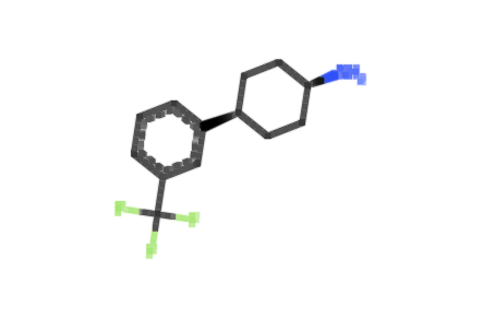 N[C@H]1CC[C@@H](c2cccc(C(F)(F)F)c2)CC1